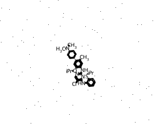 Cc1cc(Nc2ncc(Cl)c(Nc3ccccc3SC(C)C)n2)c(OC(C)C)cc1[C@H]1CC[C@@H](N(C)C)CC1